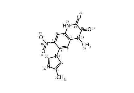 Cc1cn(-c2cc3c(cc2[N+](=O)[O-])[nH]c(=O)c(=O)n3C)cn1